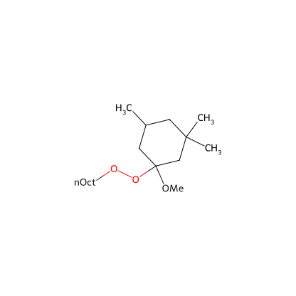 CCCCCCCCOOC1(OC)CC(C)CC(C)(C)C1